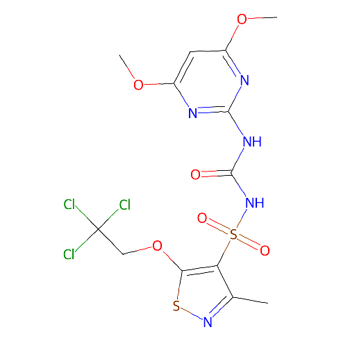 COc1cc(OC)nc(NC(=O)NS(=O)(=O)c2c(C)nsc2OCC(Cl)(Cl)Cl)n1